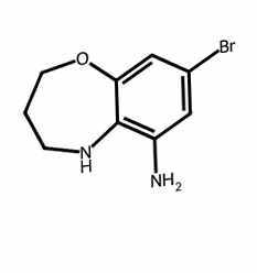 Nc1cc(Br)cc2c1NCCCO2